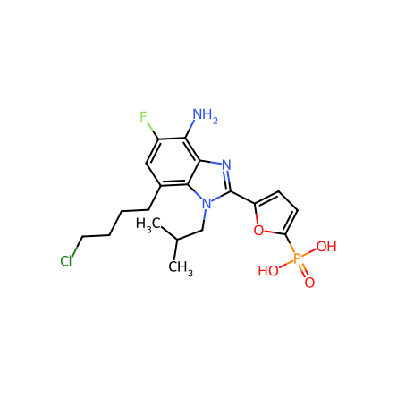 CC(C)Cn1c(-c2ccc(P(=O)(O)O)o2)nc2c(N)c(F)cc(CCCCCl)c21